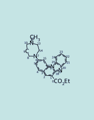 CCOC(=O)c1cc2ccc(N3CCCN(C)CC3)cc2n2c1nc1ccccc12